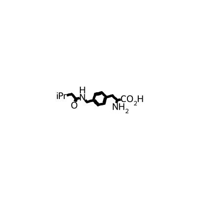 CC(C)CC(=O)NCc1ccc(CC(N)C(=O)O)cc1